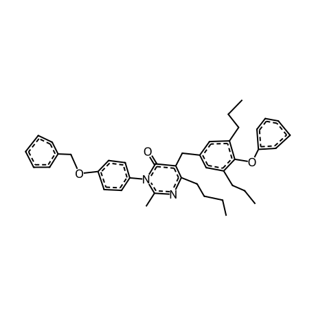 CCCCc1nc(C)n(-c2ccc(OCc3ccccc3)cc2)c(=O)c1Cc1cc(CCC)c(Oc2ccccc2)c(CCC)c1